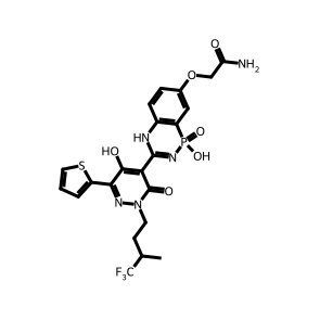 CC(CCn1nc(-c2cccs2)c(O)c(C2=NP(=O)(O)c3cc(OCC(N)=O)ccc3N2)c1=O)C(F)(F)F